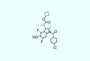 Cc1c(C(C)C(=O)OC2CCC2)c2c(F)c(O)c(F)cc2n1C(=O)c1ccc(Cl)cc1